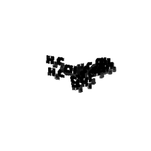 CCCC(C)(C)CCCCS(C)(SCC(C)(C)C(C)(C)CC(C)(C)S(C)(C)C)C(C)C